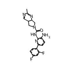 CC1=NC2CN(C(=O)Nc3nc(-c4ccc(F)cc4F)ccc3N)CC2C=N1